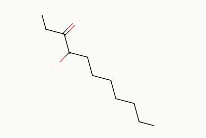 CCCCCCCC(O)C(=O)CC